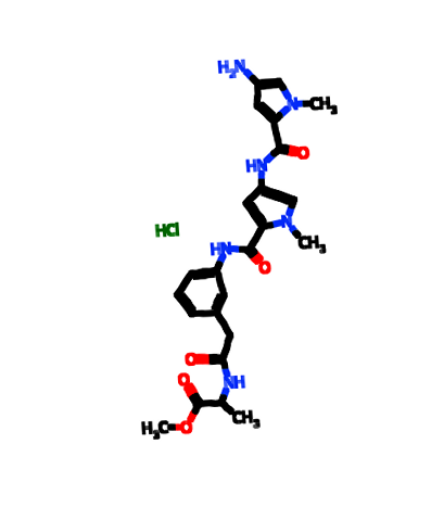 COC(=O)C(C)NC(=O)Cc1cccc(NC(=O)c2cc(NC(=O)c3cc(N)cn3C)cn2C)c1.Cl